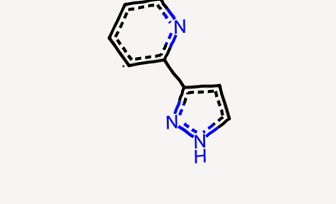 [c]1cccnc1-c1cc[nH]n1